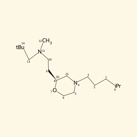 CC(C)CCCN1CCO[C@@H](CCN(C)CC(C)(C)C)C1